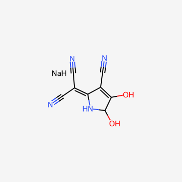 N#CC(C#N)=C1NC(O)C(O)=C1C#N.[NaH]